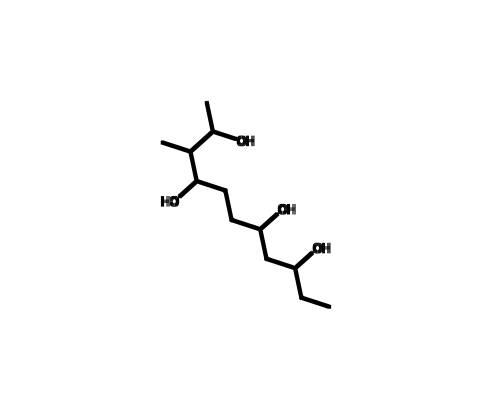 CCC(O)CC(O)CCC(O)C(C)C(C)O